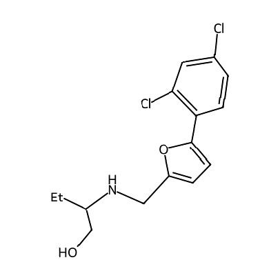 CCC(CO)NCc1ccc(-c2ccc(Cl)cc2Cl)o1